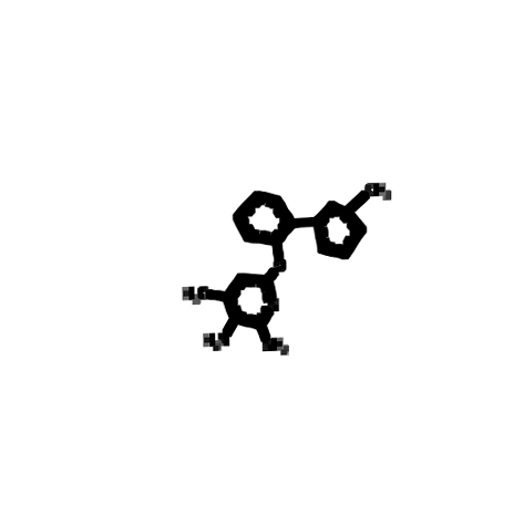 Cc1cccc(-c2ccccc2Oc2cc(C)c(N)c(N)n2)c1